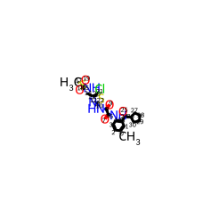 Cc1ccc(NC(=O)C(=O)Nc2nc(CNS(C)(=O)=O)c(Cl)s2)c(C(=O)C2CCCC2)c1